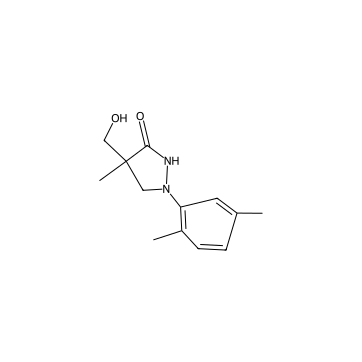 Cc1ccc(C)c(N2CC(C)(CO)C(=O)N2)c1